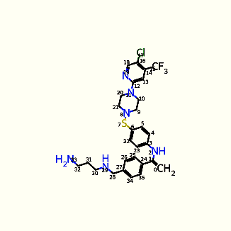 C=C(Nc1ccc(SN2CCN(c3cc(C(F)(F)F)c(Cl)cn3)CC2)cc1)c1ccc(CNCCCN)cc1